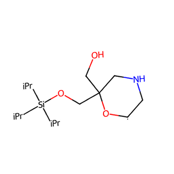 CC(C)[Si](OCC1(CO)CNC[CH]O1)(C(C)C)C(C)C